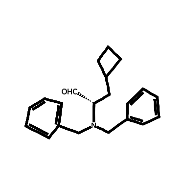 O=C[C@H](CC1CCC1)N(Cc1ccccc1)Cc1ccccc1